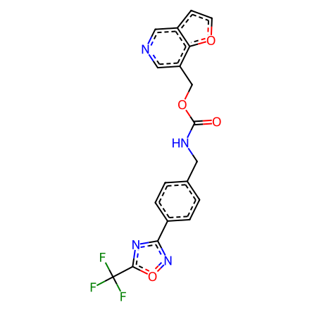 O=C(NCc1ccc(-c2noc(C(F)(F)F)n2)cc1)OCc1cncc2ccoc12